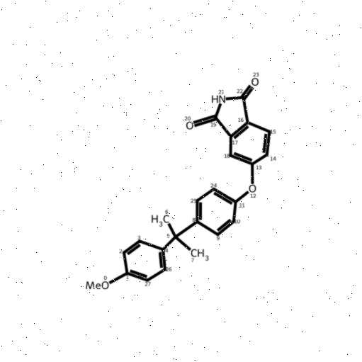 COc1ccc(C(C)(C)c2ccc(Oc3ccc4c(c3)C(=O)NC4=O)cc2)cc1